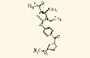 CCn1c(C)c(C(C)=O)sc1=Nc1ccc(C(=O)N2CCC(NC)C2)cc1